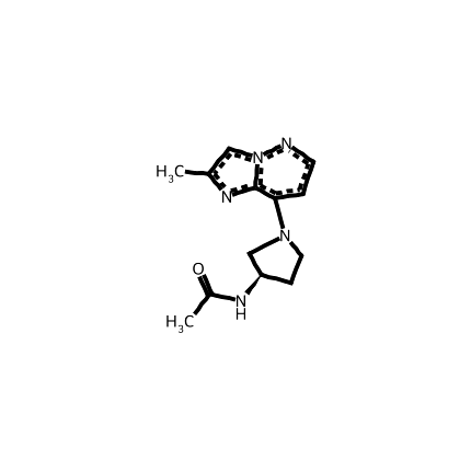 CC(=O)N[C@@H]1CCN(c2ccnn3cc(C)nc23)C1